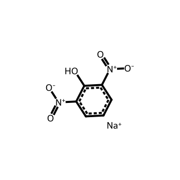 O=[N+]([O-])c1cccc([N+](=O)[O-])c1O.[Na+]